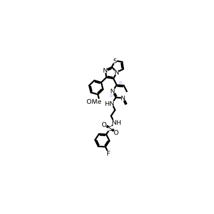 C=N/C(=N\C(=C/C)c1c(-c2cccc(OC)c2)nc2sccn12)NCCNS(=O)(=O)c1cccc(F)c1